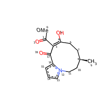 COC(=O)/C1=C(\O)CC[C@@H](C)CCn2cccc2C1=O